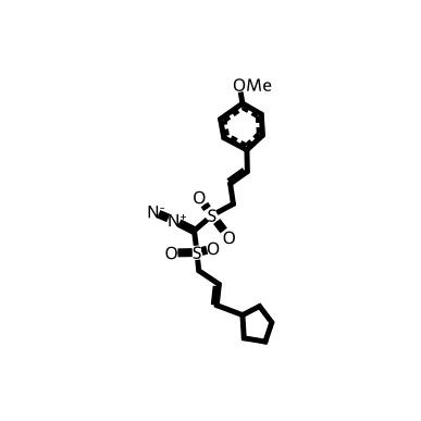 COc1ccc(C=CCS(=O)(=O)C(=[N+]=[N-])S(=O)(=O)CC=CC2CCCC2)cc1